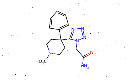 NC(=O)Cn1nnnc1C1(c2ccccc2)CCN(C(=O)O)CC1